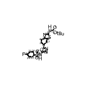 CC(C)(C)OC(=O)Nc1nc2ccc(-c3nnc(NS(=O)(=O)c4ccc(F)cc4)o3)cc2s1